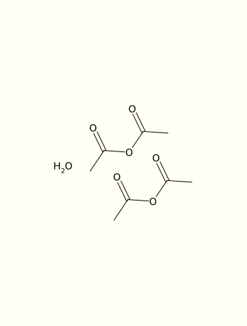 CC(=O)OC(C)=O.CC(=O)OC(C)=O.O